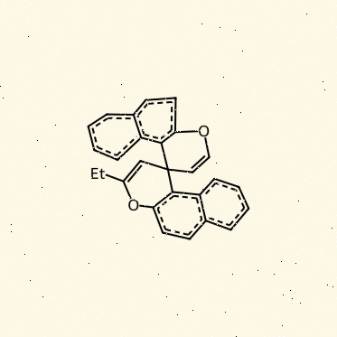 CCC1=CC2(C=COc3ccc4ccccc4c32)c2c(ccc3ccccc23)O1